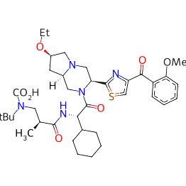 CCO[C@@H]1C[C@@H]2CN(C(=O)[C@@H](NC(=O)[C@@H](C)CN(C(=O)O)C(C)(C)C)C3CCCCC3)[C@H](c3nc(C(=O)c4ccccc4OC)cs3)CN2C1